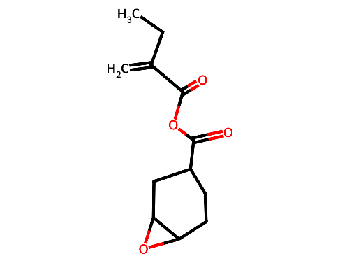 C=C(CC)C(=O)OC(=O)C1CCC2OC2C1